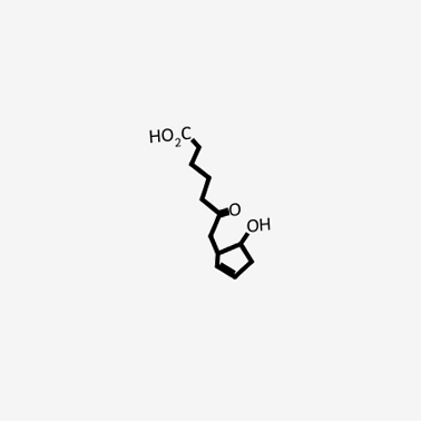 O=C(O)CCCCC(=O)CC1C=CCC1O